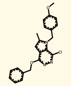 COc1ccc(Cn2c(C)cc3c(OCc4ccccc4)nnc(Cl)c32)cc1